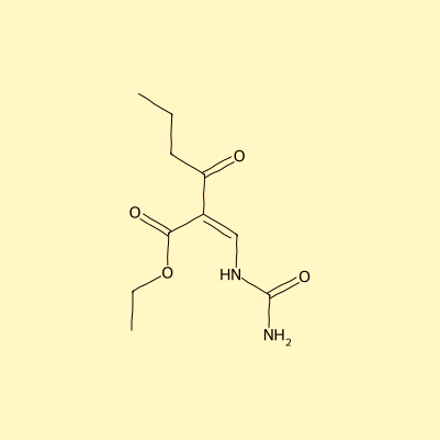 CCCC(=O)C(=CNC(N)=O)C(=O)OCC